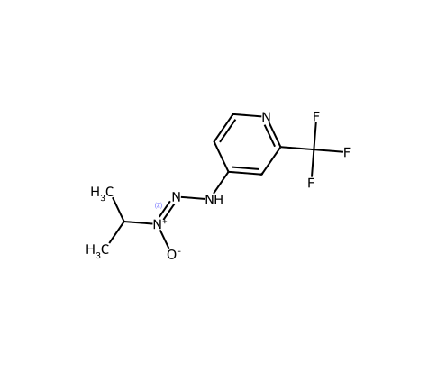 CC(C)/[N+]([O-])=N/Nc1ccnc(C(F)(F)F)c1